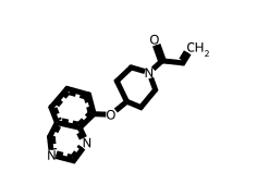 C=CC(=O)N1CCC(Oc2cccc3cncnc23)CC1